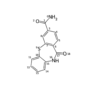 NC(=O)c1ccc2c(c1)Sc1ccccc1NC2=O